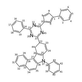 C1=C(c2ccccc2)C=CC=1c1nc(-c2ccccc2)nc(C2C=Cc3c(c4c5ccccc5ccc4n3-c3ccccc3)C2)n1